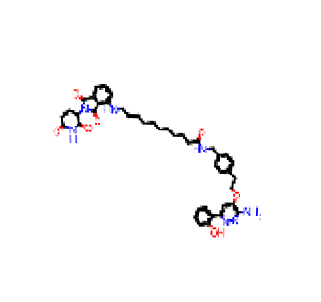 Nc1nnc(-c2ccccc2O)cc1OCCc1ccc(CNC(=O)CCCCCCCCCCNc2cccc3c2C(=O)N(C2CCC(=O)NC2=O)C3=O)cc1